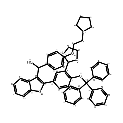 OC(c1ccc(OCCN2CCCC2)cc1)c1c(-c2ccc(OC(c3ccccc3)(c3ccccc3)c3ccccc3)c(C3OCCO3)c2)sc2ccccc12